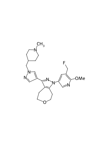 COc1ncc(-n2nc(-c3cnn(CC4CCN(C)CC4)c3)c3c2CCOCC3)cc1CF